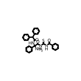 NC(NC(=O)C(c1ccccc1)c1ccccc1)(C(=O)NC(=S)NC(=O)c1ccccc1)c1ccccc1